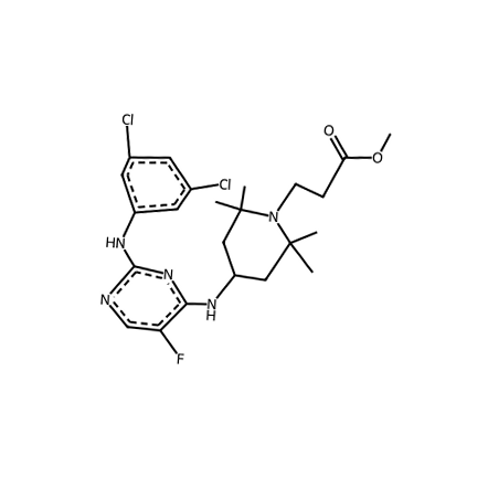 COC(=O)CCN1C(C)(C)CC(Nc2nc(Nc3cc(Cl)cc(Cl)c3)ncc2F)CC1(C)C